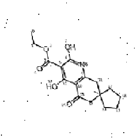 CCOC(=O)c1c(O)nc2c(c1O)C(=O)CC1(CCCC1)C2